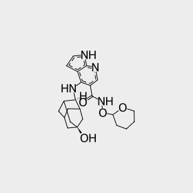 O=C(NOC1CCCCO1)c1cnc2[nH]ccc2c1N[C@H]1C2CC3CC1C[C@@](O)(C3)C2